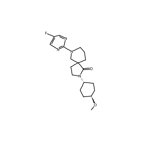 CO[C@H]1CC[C@H](N2CCC3(CCCN(c4ncc(F)cn4)C3)C2=O)CC1